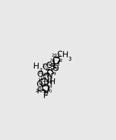 Cc1ccc(S(=O)(=O)[C@@H]2CNC(C(=O)[C@@H]3COc4c(ccc(F)c4F)N3)C2C)cc1